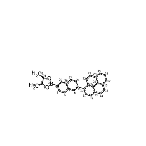 C=C1OB(c2ccc3cc(-c4ccc5ccc6cccc7ccc4c5c67)ccc3c2)OC1=C